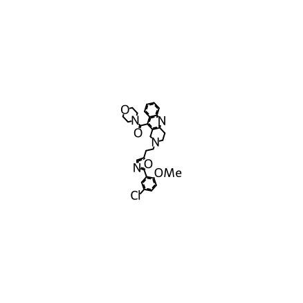 COc1ccc(Cl)cc1-c1ncc(CCN2CCc3nc4ccccc4c(C(=O)N4CCOCC4)c3C2)o1